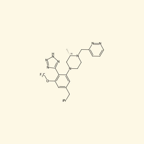 CC(C)Cc1cc(OC(F)(F)F)c(-c2nn[nH]n2)c(N2CCN(Cc3cccnn3)[C@@H](C)C2)c1